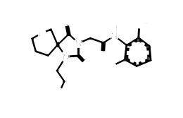 CC(C)c1cccc(C(C)C)c1NC(=O)CN1C(=O)N(CCC(F)(F)F)C2(CCCCC2)C1=O